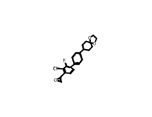 Fc1c(C2=CCC(C3CCC4(CC3)OCCO4)CC2)ccc(C2CO2)c1Cl